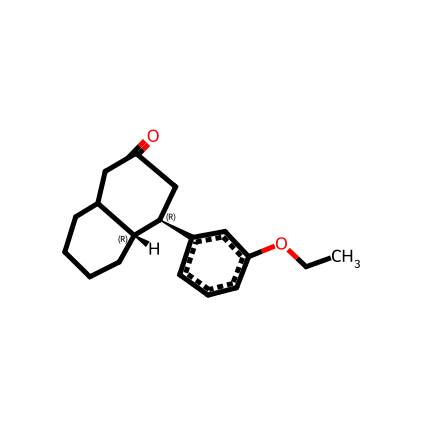 CCOc1cccc([C@@H]2CC(=O)CC3CCCC[C@H]32)c1